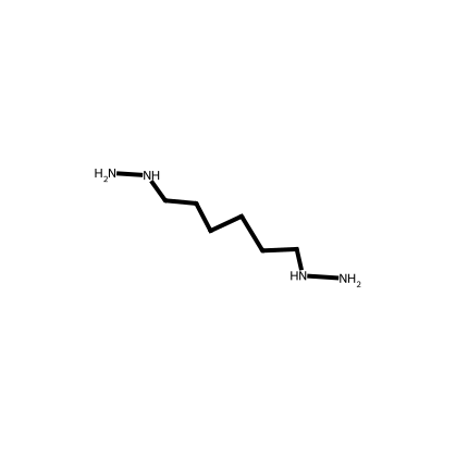 NNCCCCCCNN